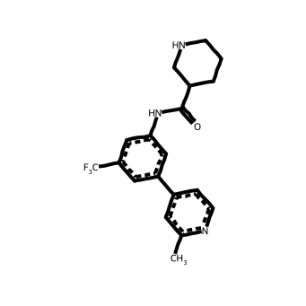 Cc1cc(-c2cc(NC(=O)C3CCCNC3)cc(C(F)(F)F)c2)ccn1